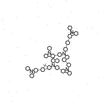 CC1(C)c2cc(-c3ccc4c(c3)c3ccccc3n4-c3ccccc3)ccc2-c2ccc(N(c3ccc(-c4ccc5c6ccccc6n(-c6cccc(-c7cccc8c(N(c9ccc(-c%10ccc(-c%11ccc%12c(c%11)c%11ccccc%11n%12-c%11ccccc%11)cc%10)cc9)c9ccc(-c%10ccc%11c%12ccccc%12n(-c%12ccccc%12)c%11c%10)cc9)cccc78)c6)c5c4)cc3)c3cccc4ccccc34)cc21